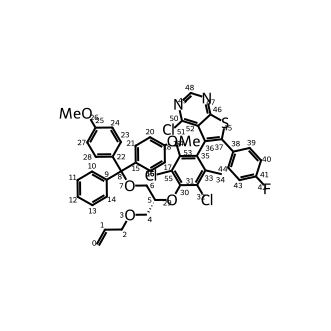 C=CCOC[C@H](COC(c1ccccc1)(c1ccc(OC)cc1)c1ccc(OC)cc1)Oc1c(Cl)c(C)c(-c2c(-c3ccc(F)cc3)sc3ncnc(Cl)c23)c(C)c1Cl